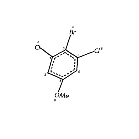 COc1cc(Cl)c(Br)c(Cl)c1